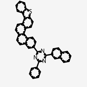 c1ccc(-c2nc(-c3ccc4ccccc4c3)nc(-c3ccc4c(ccc5ccc6c(ccc7sc8ccccc8c76)c54)c3)n2)cc1